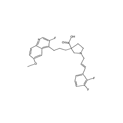 COc1ccc2ncc(F)c(CCCC3(C(=O)O)CCN(CC=Cc4cccc(F)c4F)C3)c2c1